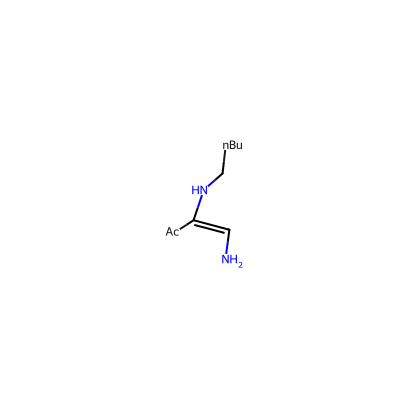 CCCCCNC(=CN)C(C)=O